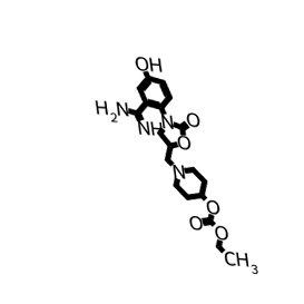 CCOC(=O)OC1CCN(CC2CN(c3ccc(O)cc3C(=N)N)C(=O)O2)CC1